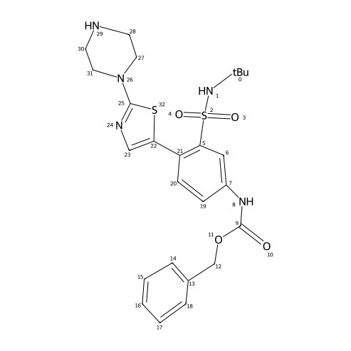 CC(C)(C)NS(=O)(=O)c1cc(NC(=O)OCc2ccccc2)ccc1-c1cnc(N2CCNCC2)s1